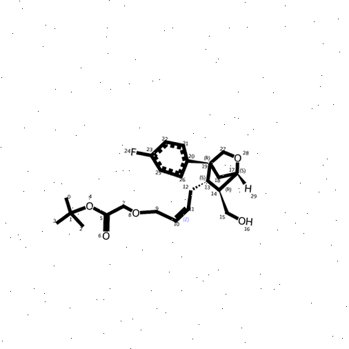 CC(C)(C)OC(=O)COC/C=C\C[C@H]1[C@H](CO)[C@@H]2C[C@@]1(c1ccc(F)cc1)CO2